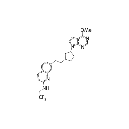 COc1ncnc2c1ccn2C1CCC(CCc2ccc3ccc(NCC(F)(F)F)nc3c2)C1